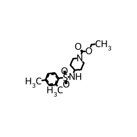 CCOC(=O)N1CCC(NS(=O)(=O)c2ccc(C)cc2C)CC1